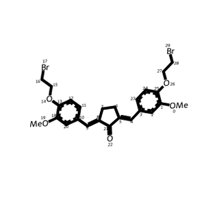 COc1cc(/C=C2\CC/C(=C\c3ccc(OCCBr)c(OC)c3)C2=O)ccc1OCCBr